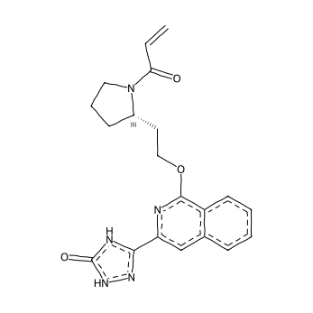 C=CC(=O)N1CCC[C@H]1CCOc1nc(-c2n[nH]c(=O)[nH]2)cc2ccccc12